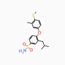 CSc1ccc(Oc2ccc(S(N)(=O)=O)cc2CC(C)C)cc1C